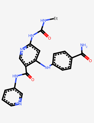 CCNC(=O)Nc1cc(Nc2ccc(C(N)=O)cc2)c(C(=O)Nc2cccnc2)cn1